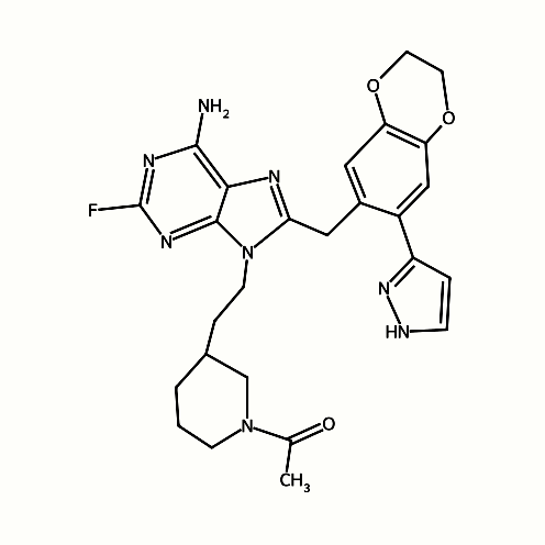 CC(=O)N1CCCC(CCn2c(Cc3cc4c(cc3-c3cc[nH]n3)OCCO4)nc3c(N)nc(F)nc32)C1